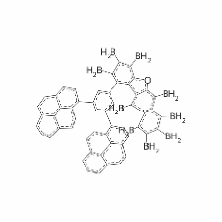 Bc1c(B)c(-c2cc(-c3ccc4ccc5cccc6ccc3c4c56)cc(-c3ccc4ccc5cccc6ccc3c4c56)c2)c2c(oc3c(B)c4c(B)c(B)c(B)c(B)c4c(B)c32)c1B